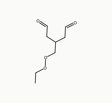 CCOOCC(CC=O)CC=O